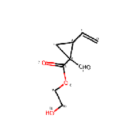 C=CC1CC1(C=O)C(=O)OCCO